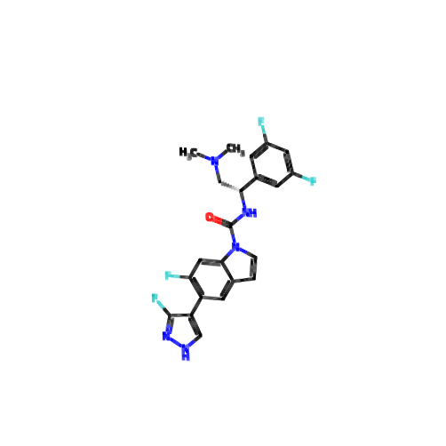 CN(C)C[C@@H](NC(=O)n1ccc2cc(-c3c[nH]nc3F)c(F)cc21)c1cc(F)cc(F)c1